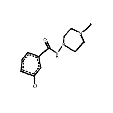 CN1CCN(NC(=O)c2cccc(Cl)c2)CC1